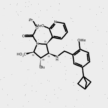 COc1ccc(C23CC(C2)C3)cc1CN[C@H]1[C@H](C(C)(C)C)[C@@H](C(=O)O)N(C(=O)OC(C)C)[C@H]1c1cccnc1OC